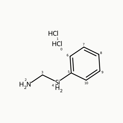 Cl.Cl.NC[SiH2]c1ccccc1